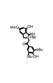 Br.COc1cc(O)c2c(c1)CN(CC(=O)c1cc(C(C)(C)C)c(O)c(C(C)(C)C)c1)C2=N